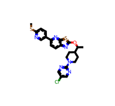 CSc1ccc(-c2ccc3nc(OC(C)C4CCN(c5ncc(Cl)cn5)CC4)sc3n2)cn1